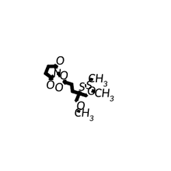 COCC(CCC(=O)ON1C(=O)CCC1=O)(COC)SSC